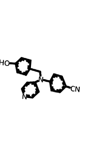 N#Cc1ccc(N(Cc2ccc(O)cc2)c2ccncc2)cc1